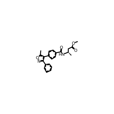 COC(=O)C[C@@H](C)NC(=O)c1ccc(-c2c(-c3ccccc3)noc2C)cc1